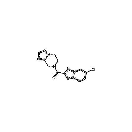 O=C(c1cc2ccc(Cl)cn2n1)N1CCn2ccnc2C1